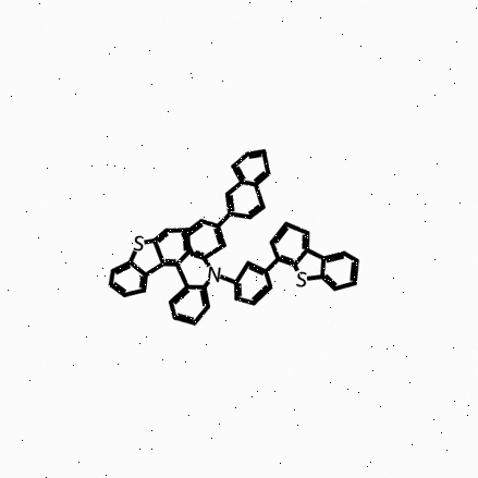 c1cc(-c2ccc3ccccc3c2)cc(N(c2cccc(-c3cccc4c3sc3ccccc34)c2)c2ccccc2-c2cccc3sc4ccccc4c23)c1